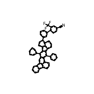 N#Cc1ccc(-c2cccc(-c3ccc4c5c(-c6ccccc6)c6cc7c8ccccc8c8cccc(c6c(-c6ccccc6)c5c5cccc3c45)c87)c2)c(C(F)(F)F)c1